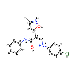 Cc1cc(C(=CNc2ccc(Cl)cc2)C(=O)Nc2ccccc2)on1